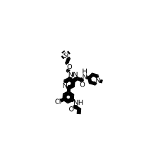 C=CC(=O)Nc1cc(Cl)cc(-c2cc3c(C(=O)NC4CCN(C)CC4)nn(COCC[Si](C)(C)C)c3cn2)c1